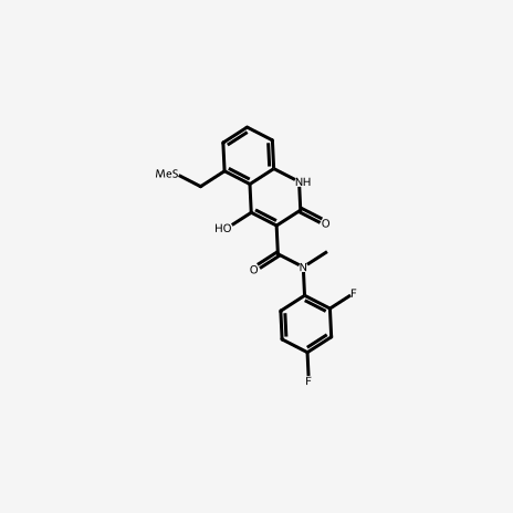 CSCc1cccc2[nH]c(=O)c(C(=O)N(C)c3ccc(F)cc3F)c(O)c12